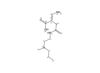 C=C(NCCN(C)CCC)S/C(=C\N)C(=O)O